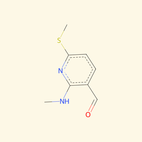 CNc1nc(SC)ccc1C=O